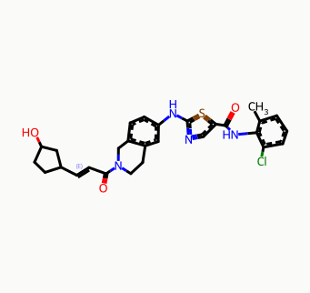 Cc1cccc(Cl)c1NC(=O)c1cnc(Nc2ccc3c(c2)CCN(C(=O)/C=C/C2CCC(O)C2)C3)s1